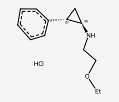 CCOCCN[C@@H]1C[C@H]1c1ccccc1.Cl